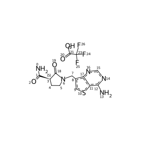 NC(=O)[C@@H]1CCN(Cc2csc3c(N)ncnc23)C1=O.O=C(O)C(F)(F)F